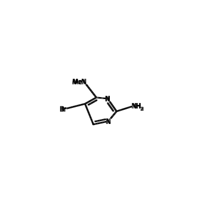 CNc1nc(N)ncc1Br